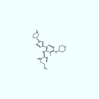 C=N/C(=N\c1c(-c2cnn([C@H]3CCN(C)C3)c2)cnc(OC2CCOCC2)c1C)N[C@@H](C)COC